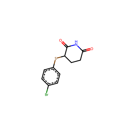 O=C1CCC(Sc2ccc(Br)cc2)C(=O)N1